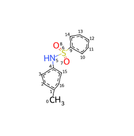 Cc1ccc(NS(=O)(=O)c2ccccc2)cc1